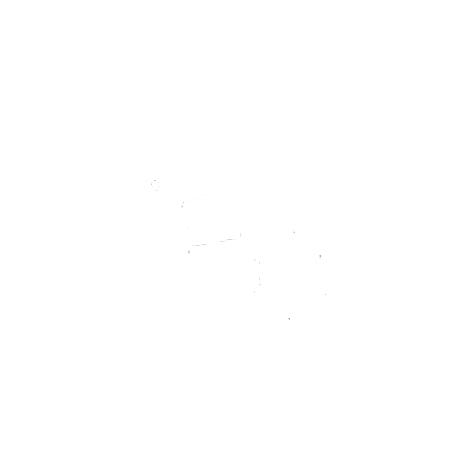 O=C1CC(C2CCCCC2)C1